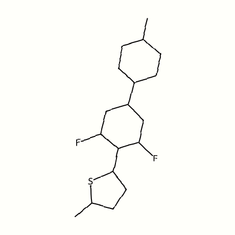 CC1CCC(C2CC(F)C(C3CCC(C)S3)C(F)C2)CC1